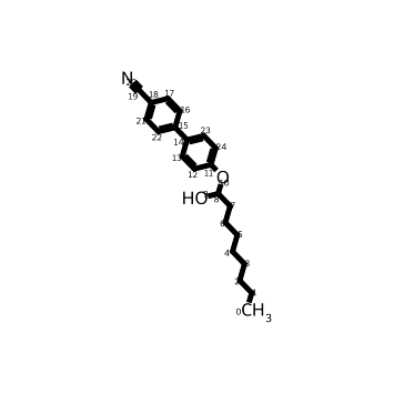 CCCCCCCCC(O)Oc1ccc(-c2ccc(C#N)cc2)cc1